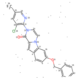 O=c1c2cc3ccc(OCc4ccccc4)cc3n2ccn1-c1ncc(C(F)(F)F)cc1Cl